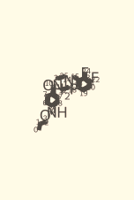 CCCONc1ccc(C(=O)N2CCN(Cc3c(P)ccc(F)c3F)CC2)cc1